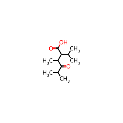 CC(C)C(=O)C(C)C(C(=O)O)C(C)C